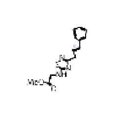 COC(=O)CNc1nc(C/C=C/c2ccccc2)ns1